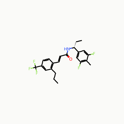 CCCc1cc(C(F)(F)F)ccc1/C=C/C(=O)N[C@H](CC)c1cc(F)c(C)c(F)c1